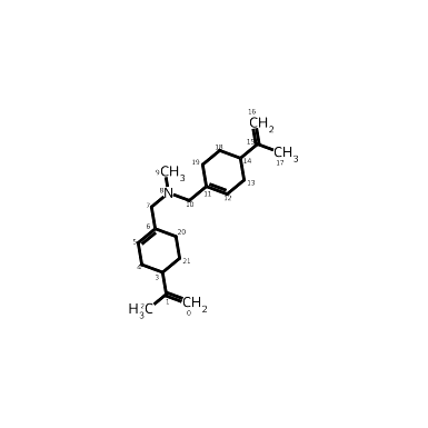 C=C(C)C1CC=C(CN(C)CC2=CCC(C(=C)C)CC2)CC1